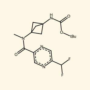 CN(C(=O)c1cnc(C(F)F)cn1)C12CC(NC(=O)OC(C)(C)C)(C1)C2